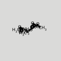 CCOC(=O)c1cc(=O)c2ccc(OCCN(CC)CCNc3cc(=O)n(C)c(=O)n3C)cc2o1